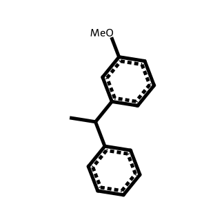 COc1cccc(C(C)c2ccccc2)c1